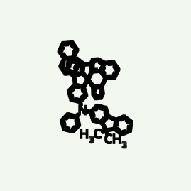 CC1(C)c2ccccc2-c2ccc(N(c3ccccc3)c3ccc4c(c3)C3(c5ccccc5-4)c4ccccc4-c4cccc5ccc(-c6cccc7ccccc67)c3c45)cc21